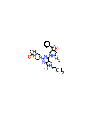 CCCN1Cc2c(NCc3c(-c4ccccc4)noc3C)nc(N3CCN(C(C)=O)CC3)nc2C1=O